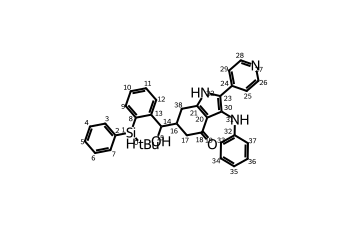 CC(C)(C)[SiH](c1ccccc1)c1ccccc1C(O)C1CC(=O)c2c([nH]c(-c3ccncc3)c2Nc2ccccc2)C1